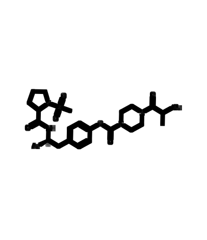 CC(=O)[C@H](Cc1ccc(OC(=O)N2CCN(C(=O)C(C)C(C)(C)C)CC2)cc1)NC(=O)C1CCCN1S(C)(=O)=O